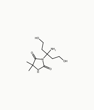 CC1(C)NC(=O)N(C(N)(CCO)CCO)C1=O